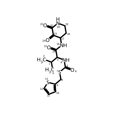 CC(C)C(NC(=O)SCc1cccs1)C(=O)NC1CCNC(=O)C1=O